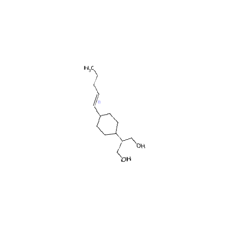 CCC/C=C/C1CCC(C(CO)CO)CC1